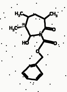 CC1CC(C)[C@@H](C)C(O)N(C(=O)OCc2ccccc2)C1=O